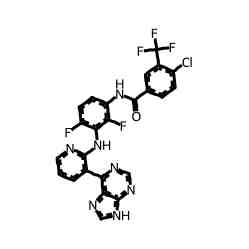 O=C(Nc1ccc(F)c(Nc2ncccc2-c2ncnc3[nH]cnc23)c1F)c1ccc(Cl)c(C(F)(F)F)c1